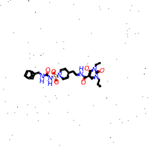 CCCn1cc(C(=O)NCCC2CCN(S(=O)(=O)NC(=O)NCC3CC4C=CC3C4)CC2)c(=O)n(CC)c1=O